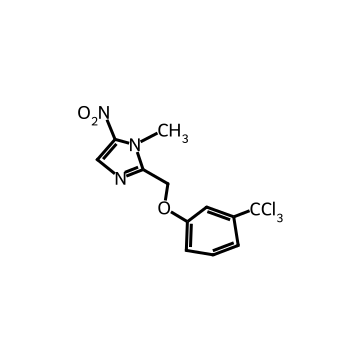 Cn1c([N+](=O)[O-])cnc1COc1cccc(C(Cl)(Cl)Cl)c1